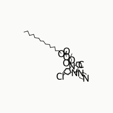 CCCCCCCCCCCCCCOC(=O)OC(C)OC(=O)N1c2ccc(Cl)cc2N=C(N2CCN(C)CC2)c2ccccc21